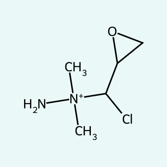 C[N+](C)(N)C(Cl)C1CO1